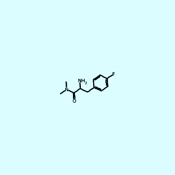 CN(C)C(=O)C(N)Cc1ccc(F)cc1